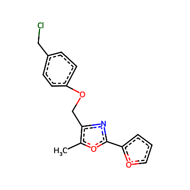 Cc1oc(-c2ccco2)nc1COc1ccc(CCl)cc1